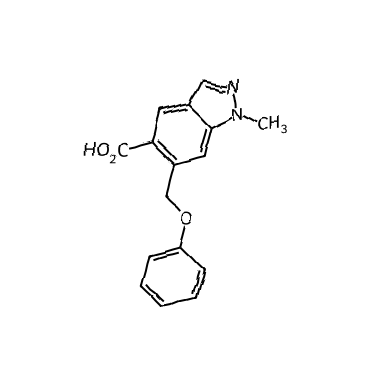 Cn1ncc2cc(C(=O)O)c(COc3ccccc3)cc21